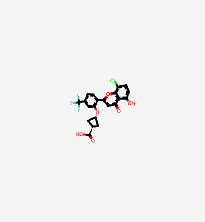 O=c1cc(-c2ccc(C(F)(F)F)cc2O[C@H]2C[C@H](C(=O)O)C2)oc2c(Cl)ccc(O)c12